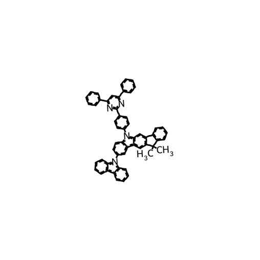 CC1(C)c2ccccc2-c2cc3c(cc21)c1cc(-n2c4ccccc4c4ccccc42)ccc1n3-c1ccc(-c2nc(-c3ccccc3)cc(-c3ccccc3)n2)cc1